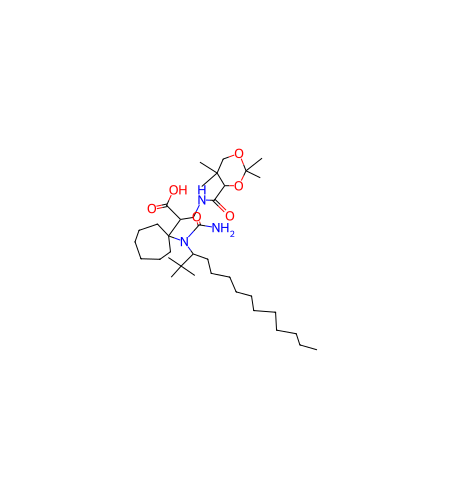 CCCCCCCCCCCC(N(C(N)=O)C1(C(CNC(=O)C2OC(C)(C)OCC2(C)C)C(=O)O)CCCCCC1)C(C)(C)C